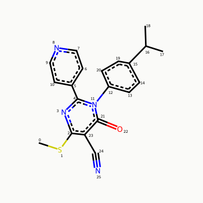 CSc1nc(-c2ccncc2)n(-c2ccc(C(C)C)cc2)c(=O)c1C#N